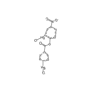 O=C(Oc1ccc([N+](=O)[O-])c[c]1[Hg][Cl])c1cc[c]([Hg][Cl])cc1